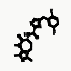 Cc1nc(C)n2c1N(C)C(=O)[C@H](NC(=O)c1ncn(CC3=CC(F)CC=C3F)n1)CC2